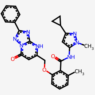 Cc1cccc(OCc2cc(=O)n3nc(-c4ccccc4)nc3[nH]2)c1C(=O)Nc1cc(C2CC2)nn1C